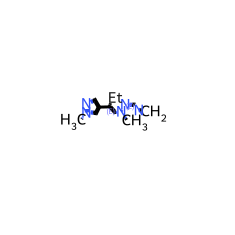 C=N/C=N\N(C)/C=C(\CC)c1cnn(C)c1